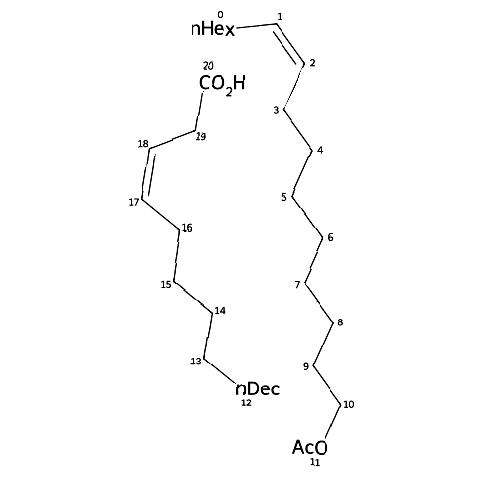 CCCCCC/C=C\CCCCCCCCOC(C)=O.CCCCCCCCCCCCCC/C=C\CC(=O)O